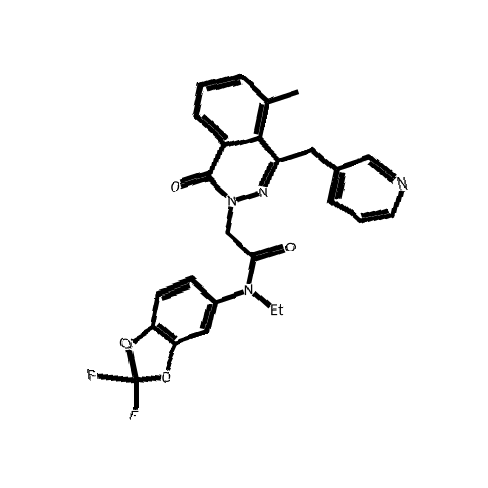 CCN(C(=O)Cn1nc(Cc2cccnc2)c2c(C)cccc2c1=O)c1ccc2c(c1)OC(F)(F)O2